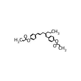 C=CC(=O)Oc1ccc(C=CCC(=Cc2ccc(OC(=O)C=C)cc2)CCC)cc1